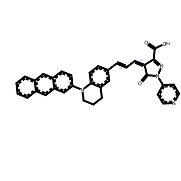 O=C(O)C1=NN(c2ccncc2)C(=O)/C1=C\C=C\c1ccc2c(c1)CCCN2c1ccc2cc3ccccc3cc2c1